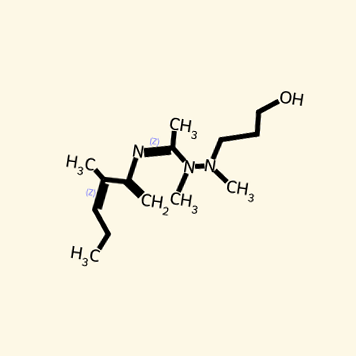 C=C(/N=C(/C)N(C)N(C)CCCO)/C(C)=C\CC